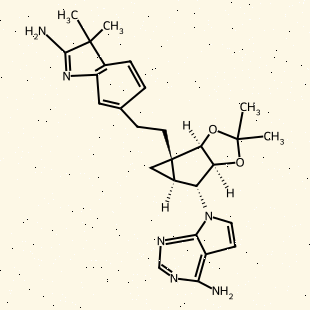 CC1(C)O[C@H]2[C@H](n3ccc4c(N)ncnc43)[C@H]3C[C@]3(CCc3ccc4c(c3)N=C(N)C4(C)C)[C@H]2O1